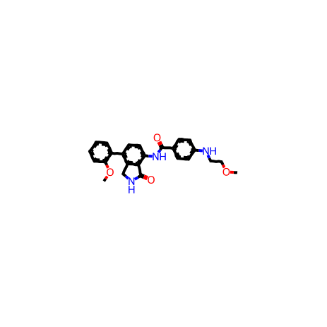 COCCNc1ccc(C(=O)Nc2ccc(-c3ccccc3OC)c3c2C(=O)NC3)cc1